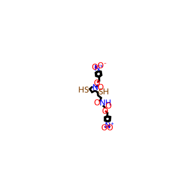 O=C(CCC(S)C1CC(S)CN1C(=O)OCc1ccc([N+](=O)[O-])cc1)NCC(=O)OCc1ccc([N+](=O)[O-])cc1